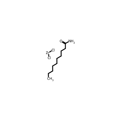 CCCCCCCCCC(N)=O.[Cl][Zr][Cl]